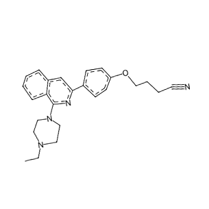 CCN1CCN(c2nc(-c3ccc(OCCCC#N)cc3)cc3ccccc23)CC1